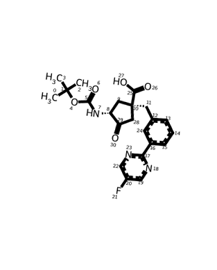 CC(C)(C)OC(=O)N[C@@H]1C[C@@](Cc2cccc(-c3ncc(F)cn3)c2)(C(=O)O)CC1=O